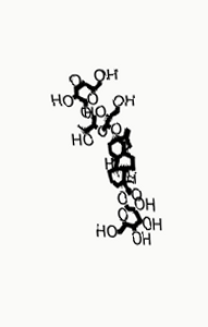 C=C1C[C@@]23CC[C@H]4[C@@](C)(CCC[C@@]4(C)C(=O)OC4OC(CO)C(O)C(O)C4O)[C@@H]2CC[C@]1(OC(OC(COC1OC(CO)C2OC2C1O)[C@H](C)O)[C@@H](O)CO)C3